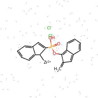 C=C1C=c2ccccc2=C1OP(=O)(O)C1=Cc2ccccc2[CH]1[Zr+2].[Cl-].[Cl-]